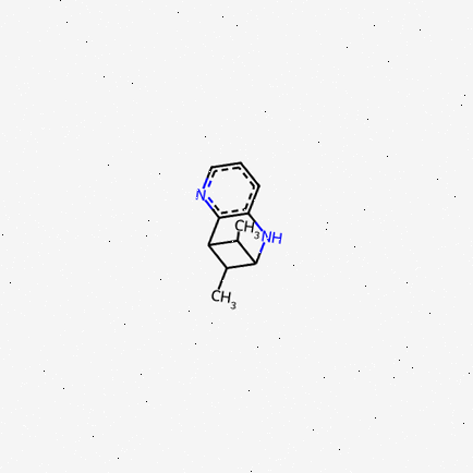 CC1C2Nc3cccnc3C1C2C